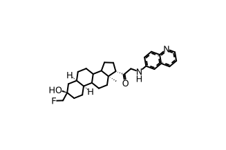 C[C@]12CCC3C(CC[C@@H]4C[C@@](O)(CF)CC[C@H]34)C1CC[C@@H]2C(=O)CNc1ccc2ncccc2c1